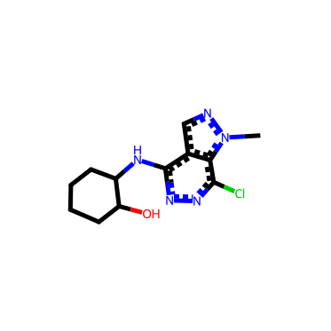 Cn1ncc2c(NC3CCCCC3O)nnc(Cl)c21